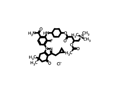 CC(=O)OC(CC(=O)OC1CCC(Nc2c(C(N)=O)ccc(-n3nc(CC4CC4)c4c3CC(C)(C)CC4=O)c2F)CC1)C[N+](C)(C)C.[Cl-]